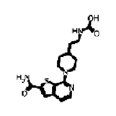 NC(=O)c1cc2ccnc(N3CCC(CCNC(=O)O)CC3)c2s1